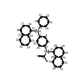 C=C(C)N(c1ccc(N(c2ccccc2)c2cccc3ccccc23)cc1)c1cccc2ccccc12